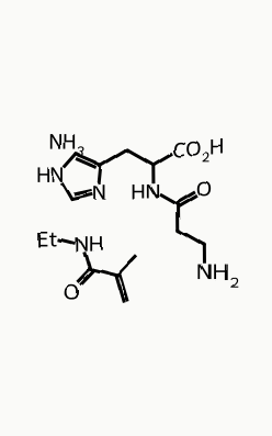 C=C(C)C(=O)NCC.N.NCCC(=O)NC(Cc1c[nH]cn1)C(=O)O